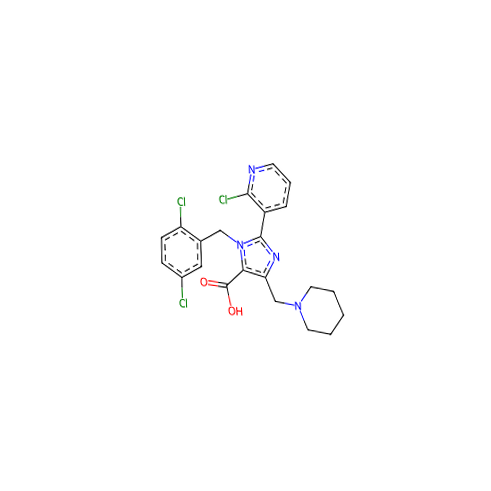 O=C(O)c1c(CN2CCCCC2)nc(-c2cccnc2Cl)n1Cc1cc(Cl)ccc1Cl